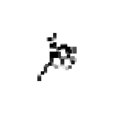 C=CCCC(C)C[C@@H](CC)C(NC(=O)OC(C)(C)C)C(=O)O